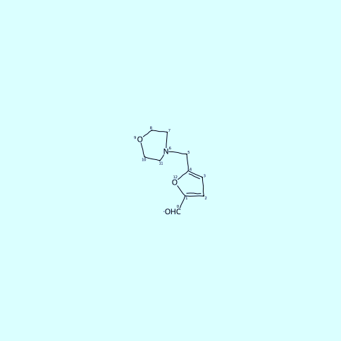 O=[C]c1ccc(CN2CCOCC2)o1